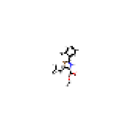 CCOC(=O)c1nc(-c2ccccc2C)sc1CC(C)C